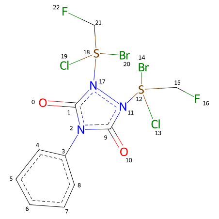 O=c1n(-c2ccccc2)c(=O)n(S(Cl)(Br)CF)n1S(Cl)(Br)CF